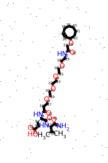 CC(C)[C@H](NC(=O)[C@H](CCC(=O)O)NC(=O)CCOCCOCCOCCOCCNC(=O)COC1C#CCCCCC1)C(N)=O